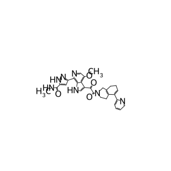 CNC(=O)c1cc(-c2ncc(OC)c3c(C(=O)C(=O)N4CCC5=C(CCC=C5c5ccccn5)C4)c[nH]c23)n[nH]1